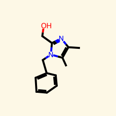 Cc1nc(CO)n(Cc2ccccc2)c1C